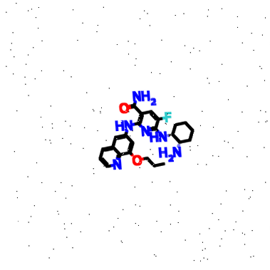 CCCOc1cc(Nc2nc(N[C@@H]3CCCC[C@@H]3N)c(F)cc2C(N)=O)cc2cccnc12